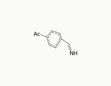 CC(=O)c1ccc(C=N)cc1